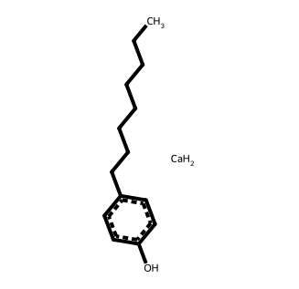 CCCCCCCCc1ccc(O)cc1.[CaH2]